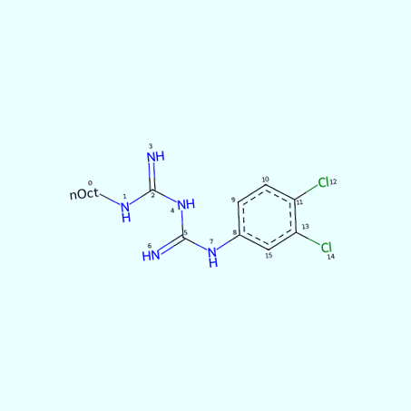 CCCCCCCCNC(=N)NC(=N)Nc1ccc(Cl)c(Cl)c1